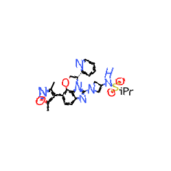 Cc1noc(C)c1-c1ccc2nc(N3CC(NS(=O)(=O)C(C)C)C3)n3c2c1OC[C@@H]3c1ccccn1